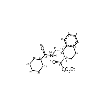 CCOC(=O)C(=O)N1CCc2ccccc2[C@H]1CNC(=O)C1CCCCC1